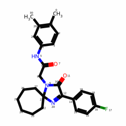 Cc1ccc(NC(=O)CN2C(=O)C(c3ccc(F)cc3)=NC23CCCCCC3)cc1C